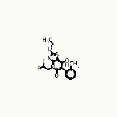 CCOc1nc2c(s1)c(O)c(-c1ccccc1C)c(=O)n2CC(F)F